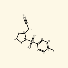 Cc1ccc(S(=O)(=O)N2CCCC2CC#N)cc1